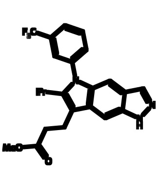 COC(=O)CCc1c(C(C)C)n(-c2cccc(C(F)(F)F)c2)c2cc3cn[nH]c3cc12